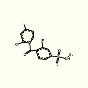 CCNS(=O)(=O)c1ccc(C(=O)c2ccc(F)cc2Cl)c(Br)c1